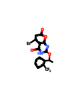 CCc1cc(=O)oc2nc(OC(C)c3ccccc3C(F)(F)F)[nH]c(=O)c12